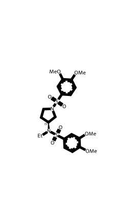 CCN([C@H]1CCN(S(=O)(=O)c2ccc(OC)c(OC)c2)C1)S(=O)(=O)c1ccc(OC)c(OC)c1